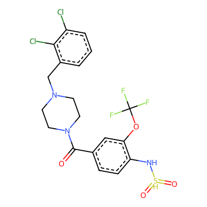 O=C(c1ccc(N[SH](=O)=O)c(OC(F)(F)F)c1)N1CCN(Cc2cccc(Cl)c2Cl)CC1